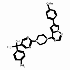 COc1ccc(-c2cc3c(N4CCN(c5ncc(C(C)(O)c6ccc(P)cc6)cn5)CC4)ncnn3c2)cc1